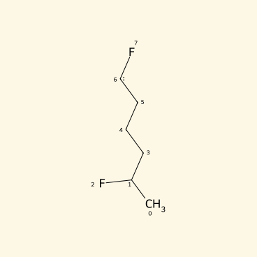 CC(F)CCC[C]F